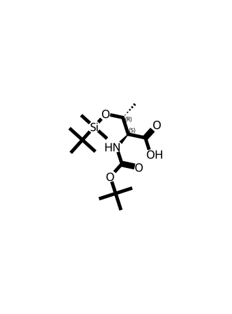 C[C@@H](O[Si](C)(C)C(C)(C)C)[C@H](NC(=O)OC(C)(C)C)C(=O)O